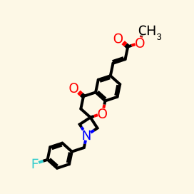 COC(=O)/C=C/c1ccc2c(c1)C(=O)CC1(CN(Cc3ccc(F)cc3)C1)O2